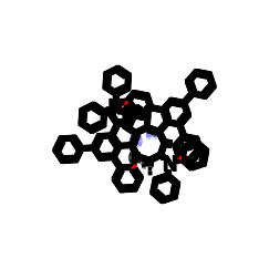 C=C1/C(c2c(-c3ccccc3)cc(-c3ccccc3)cc2-c2ccccc2)=c2/ccc(N(c3ccccc3)c3ccccc3)c/c2=C(\c2c(-c3ccccc3)cc(-c3ccccc3)cc2-c2ccccc2)[C@H](C)[C@@H](C)C1N(c1ccccc1)c1ccccc1